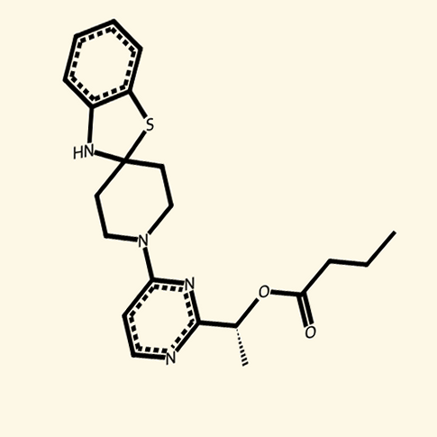 CCCC(=O)O[C@H](C)c1nccc(N2CCC3(CC2)Nc2ccccc2S3)n1